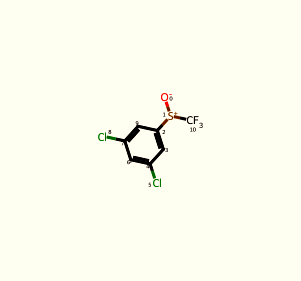 [O-][S+](c1cc(Cl)[c]c(Cl)c1)C(F)(F)F